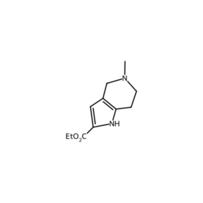 CCOC(=O)c1cc2c([nH]1)CCN(C)C2